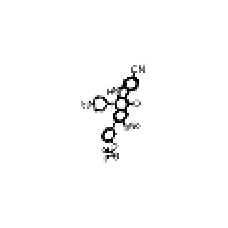 CCCCc1cc2c(=O)c3c4ccc(C#N)cc4[nH]c3n(C3CCNCC3)c2cc1-c1cccc(OS(=O)(=O)F)c1